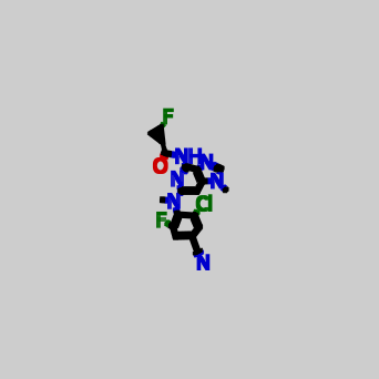 CN(c1cc2c(ncn2C)c(NC(=O)[C@H]2C[C@H]2F)n1)c1c(F)cc(C#N)cc1Cl